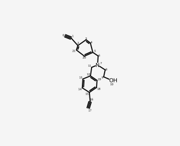 C#Cc1ccc(CN(CCO)Cc2ccc(C#C)cc2)cc1